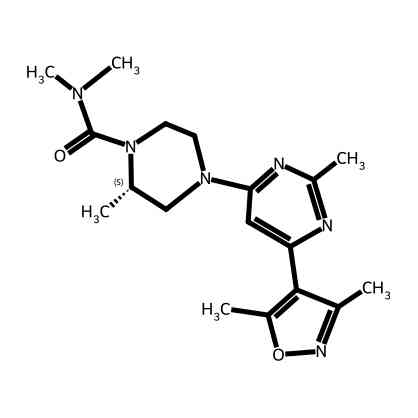 Cc1nc(-c2c(C)noc2C)cc(N2CCN(C(=O)N(C)C)[C@@H](C)C2)n1